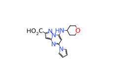 O=C(O)c1cc2nc(-n3cccc3)cc(NC3CCOCC3)n2n1